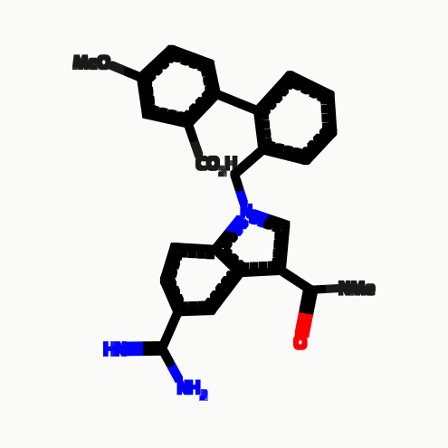 CNC(=O)c1cn(Cc2ccccc2-c2ccc(OC)cc2C(=O)O)c2ccc(C(=N)N)cc12